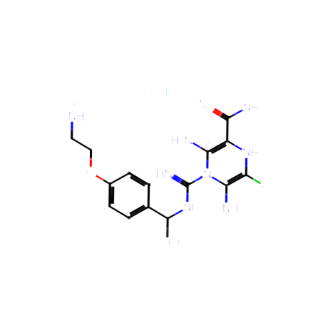 CCCC(NC(=N)N1C(N)=C(Cl)NC(C(N)=O)=C1N)c1ccc(OCCN)cc1.Cl